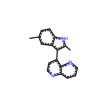 Cc1ccc2[nH]c(C)c(-c3ccnc4cccnc34)c2c1